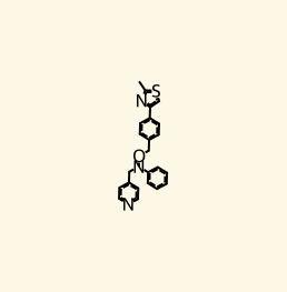 Cc1nc(-c2ccc(CON(Cc3ccncc3)c3ccccc3)cc2)cs1